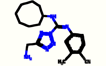 Cc1cc(N=C(NC2CCCCCCC2)n2nnc(CN)n2)ccc1C#N